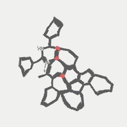 CC1=CC2CC=CC=C2C(C2=C3CCC=CC3c3c2ccc2c3C=CCC2)=C1C1C=CCCC1C(C)C1=CC=CC(C2=NC(c3ccccc3)NC(C3C=CC=CC3)N2)C1